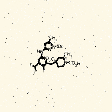 Cc1cc(Nc2cc(C(F)F)c(F)c(C[C@@]3(C(=O)O)CCN(C(=O)O)[C@H](C)C3)n2)nn1C(C)(C)C